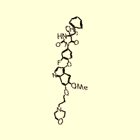 COc1cc2c(Oc3ccc(N4C(=O)NC(C)(Cc5ccccc5)C4=O)cc3F)ccnc2cc1OCCCN1CCOCC1